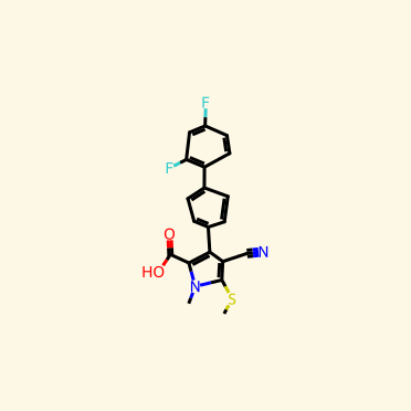 CSc1c(C#N)c(-c2ccc(-c3ccc(F)cc3F)cc2)c(C(=O)O)n1C